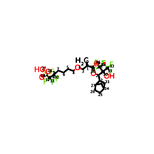 C=C(COCCCCC(F)(F)C(F)(F)S(=O)(=O)O)C(=O)OC(C1CC2CCC1C2)C(O)(C(F)(F)F)C(F)(F)F